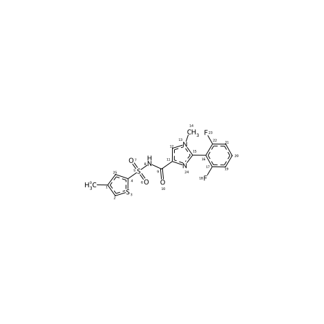 Cc1csc(S(=O)(=O)NC(=O)c2cn(C)c(-c3c(F)cccc3F)n2)c1